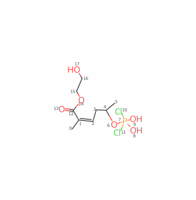 CC(=CCC(C)OP(O)(O)(Cl)Cl)C(=O)OCCO